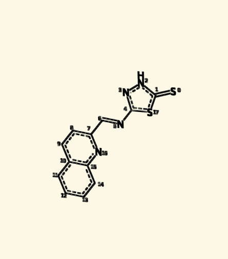 S=c1[nH]nc(N=Cc2ccc3ccccc3n2)s1